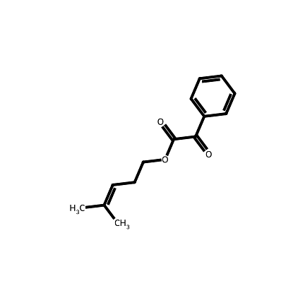 CC(C)=CCCOC(=O)C(=O)c1ccccc1